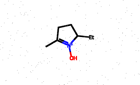 CCC1CCC(C)=[N+]1O